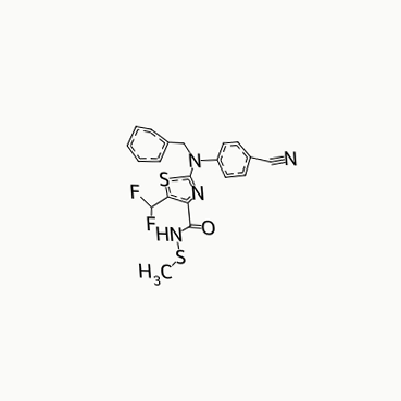 CSNC(=O)c1nc(N(Cc2ccccc2)c2ccc(C#N)cc2)sc1C(F)F